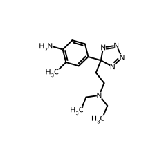 CCN(CC)CCC1(c2ccc(N)c(C)c2)N=NN=N1